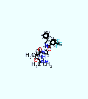 CN[C@@H](C)C(=O)N[C@H](C(=O)N1CCC[C@H]1CN(CCc1ccccc1)C(=O)c1cccc(C(F)(F)F)c1)C(C)(C)C